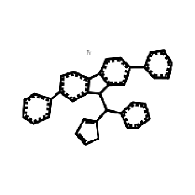 C1=CCC(C(c2ccccc2)C2c3cc(-c4ccccc4)ccc3-c3ccc(-c4ccccc4)cc32)=C1.[Zr]